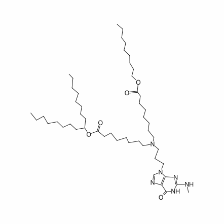 CCCCCCCCCOC(=O)CCCCCCCN(CCCCCCCC(=O)OC(CCCCCCCC)CCCCCCCC)CCCn1cnc2c(=O)[nH]c(NC)nc21